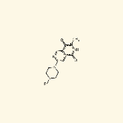 CC(C)N1CCN(c2cc3c(=O)[nH]n(C)c(=O)c3cn2)CC1